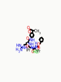 Cc1cc(=O)oc2cc(NC(=O)[C@H](CCCNC(=N)N)NC(=O)[C@@H](NC(=O)[C@@H](NC(=O)OCc3ccccc3)C(C)C)C(C)C)ccc12.Cl